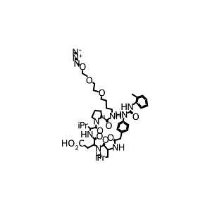 Cc1ccccc1NC(=O)Nc1ccc(CC(=O)NC(CC(C)C)C(=O)NC(CC(=O)O)C(=O)NC(C(=O)N2CCC[C@H]2C(=O)NCCCCOCCOCCON=[N+]=[N-])C(C)C)cc1